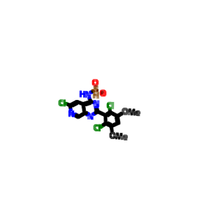 COc1cc(OC)c(Cl)c(-c2nc(N[SH](=O)=O)c3cc(Cl)ncc3n2)c1Cl